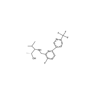 CC(C)C(NCc1nc(-c2ccc(C(F)(F)F)nc2)ccc1F)[C@@H](C)O